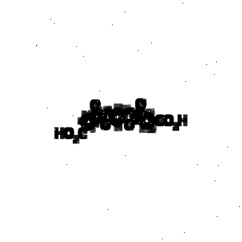 O=C(O)c1ccc2c(c1)C(=O)N(Cc1cccc(CN3C(=O)c4ccc(C(=O)O)cc4C3=O)c1)C2=O